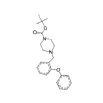 CC(C)(C)OC(=O)N1CCN(Cc2ccccc2Oc2ccccc2)CC1